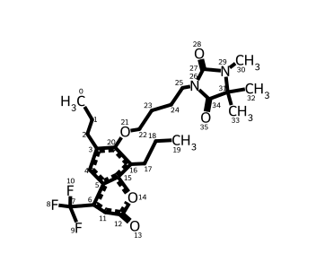 CCCc1cc2c(C(F)(F)F)cc(=O)oc2c(CCC)c1OCCCCN1C(=O)N(C)C(C)(C)C1=O